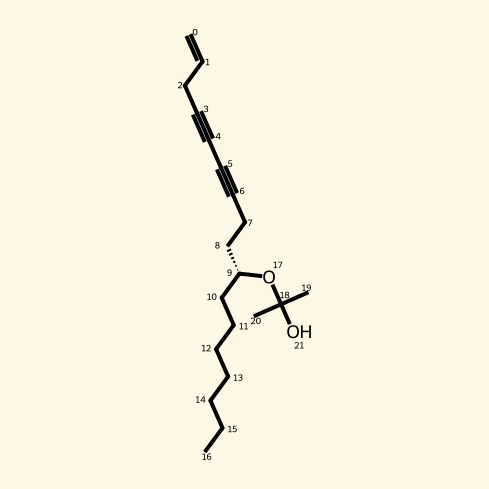 C=CCC#CC#CCC[C@@H](CCCCCCC)OC(C)(C)O